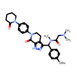 COc1ccc(C(c2n[nH]c3c2CCN(c2ccc(N4CCCCC4=O)cc2)C3=O)N(C)C(=O)CN(C)C)cc1